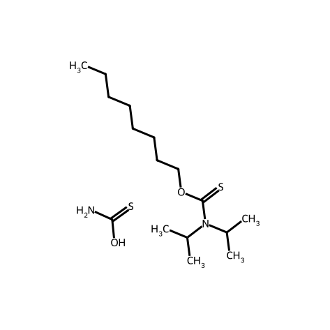 CCCCCCCCOC(=S)N(C(C)C)C(C)C.NC(O)=S